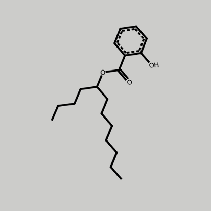 CCCCCCCC(CCCC)OC(=O)c1ccccc1O